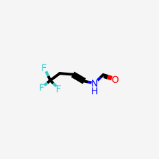 O=CNC#CCC(F)(F)F